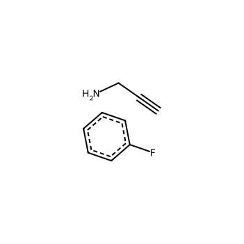 C#CCN.Fc1ccccc1